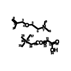 C=C(C)COCCN(C)C.CCC(=O)O.C[N+](C)(C)CC(=O)[O-]